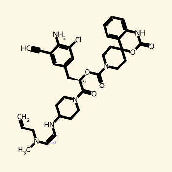 C#Cc1cc(C[C@@H](OC(=O)N2CCC3(CC2)OC(=O)Nc2ccccc23)C(=O)N2CCC(N/C=C\N(C)CC=C)CC2)cc(Cl)c1N